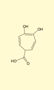 O=C(O)C1C=CC(O)=C(O)C=C1